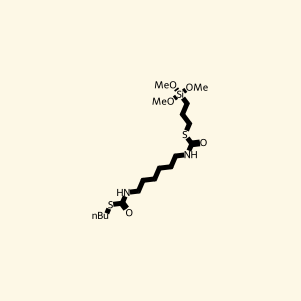 CCCCSC(=O)NCCCCCCNC(=O)SCCC[Si](OC)(OC)OC